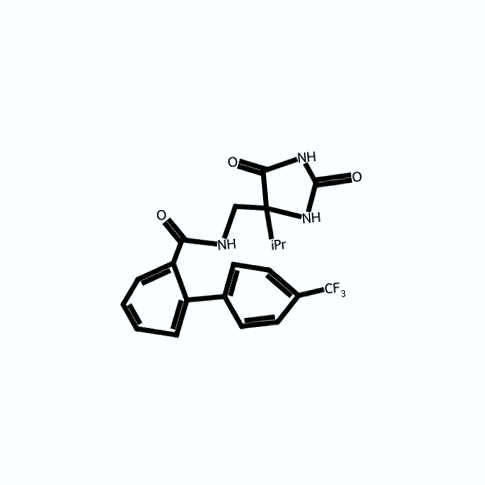 CC(C)C1(CNC(=O)c2ccccc2-c2ccc(C(F)(F)F)cc2)NC(=O)NC1=O